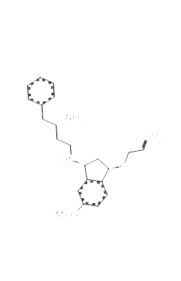 C=CCO[C@@H]1C[C@H](NCC[C@@H](N)Cc2ccccc2)c2cc(OC)ccc21